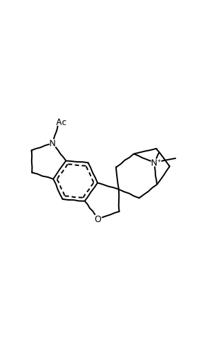 CC(=O)N1CCc2cc3c(cc21)C1(CO3)CC2CCC(C1)[N+]2(C)C